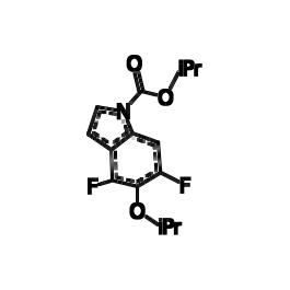 CC(C)OC(=O)n1ccc2c(F)c(OC(C)C)c(F)cc21